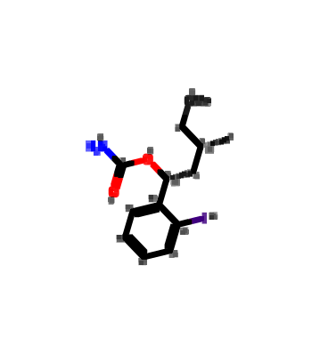 COC[C@H](C)C[C@@H](OC(N)=O)c1ccccc1I